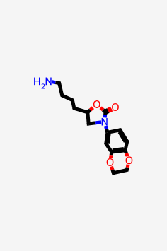 NCCCCC1CN(c2ccc3c(c2)OCCO3)C(=O)O1